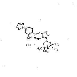 CC1(C)CC(n2nnc3cc(-c4ccc(-n5nccn5)cc4O)nnc32)CC(C)(C)N1.Cl